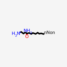 CCCCCCCCCCCCCCCCCC(=O)C(N)CCN